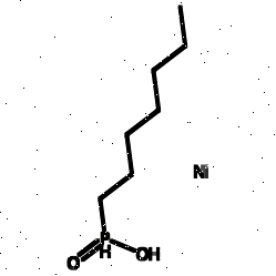 CCCCCCC[PH](=O)O.[Ni]